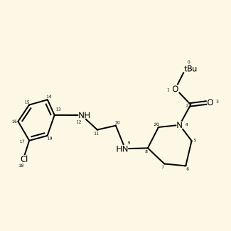 CC(C)(C)OC(=O)N1CCCC(NCCNc2cccc(Cl)c2)C1